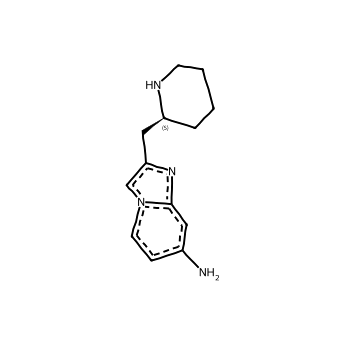 Nc1ccn2cc(C[C@@H]3CCCCN3)nc2c1